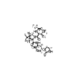 CCC(C(NC(=O)C(F)(F)F)C(=O)N1C[C@H]2[C@@H]([C@H]1C(=O)N[C@@H](CC[C@@H]1CCNC1=O)C(N)=O)C2(C)C)C(F)(F)F